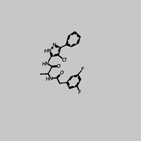 CC(NC(=O)Cc1cc(F)cc(F)c1)C(=O)Nc1[nH]nc(-c2ccccc2)c1Cl